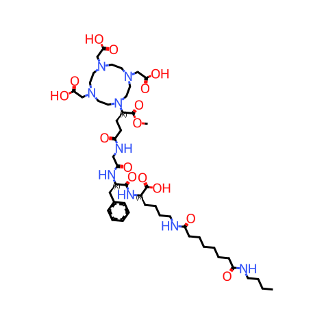 CCCCNC(=O)CCCCCCC(=O)NCCCC[C@@H](NC(=O)[C@@H](Cc1ccccc1)NC(=O)CNC(=O)CC[C@H](C(=O)OC)N1CCN(CC(=O)O)CCN(CC(=O)O)CCN(CC(=O)O)CC1)C(=O)O